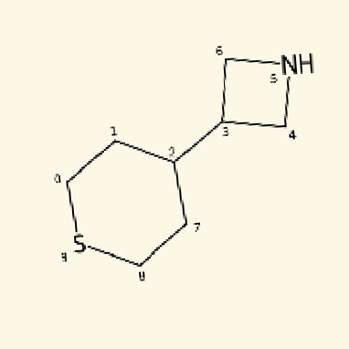 C1CC(C2CNC2)CCS1